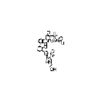 COc1nc(-c2cccc(-c3cccc(-c4cc5c(=O)n(C)c(CNCCO)nn5c4)c3Cl)c2Cl)cc(Cl)c1CNC[C@@H]1CCC(=O)N1